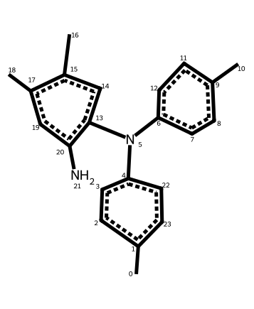 Cc1ccc(N(c2ccc(C)cc2)c2cc(C)c(C)cc2N)cc1